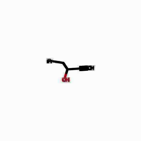 C#CC(O)CC(C)C